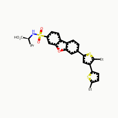 CCc1ccc(-c2cc(-c3ccc4c(c3)oc3cc(S(=O)(=O)N[C@H](C(=O)O)C(C)C)ccc34)sc2CC)s1